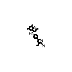 CCc1cc(-c2ccc(Nc3cc(C)nc4c(C)cc(C)cc34)cc2)cnc1C#N